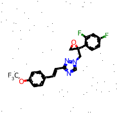 Fc1ccc(C2(Cn3cnc(/C=C/c4ccc(OC(F)(F)F)cc4)n3)CO2)c(F)c1